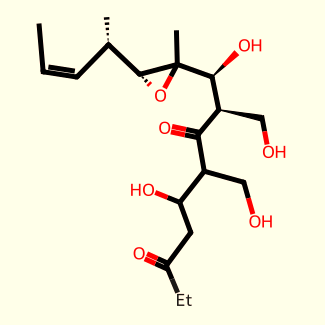 C/C=C\[C@H](C)[C@H]1OC1(C)[C@@H](O)[C@@H](CO)C(=O)C(CO)C(O)CC(=O)CC